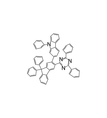 c1ccc(-c2nc(-c3ccccc3)nc(-c3cc4c(cc3-c3ccc5c6ccccc6n(-c6ccccc6)c5c3)C(c3ccccc3)(c3ccccc3)c3ccccc3-4)n2)cc1